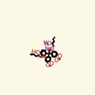 CCC[C@@H](O)COc1cc2c(cc1C1(c3cc4c(cc3OC[C@H](O)CCC)OCO4)C(=O)Nc3ccc(F)cc31)OCO2